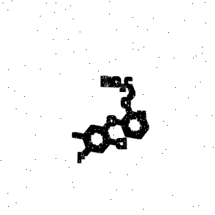 CCOC(=O)COc1ncccc1Oc1cc(C)c(F)cc1Cl